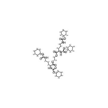 O=C(NCCCC(NC(=O)OC1CCCCC1)C(=O)OCCOC(=O)C(CCCNC(=O)OC1CCCCC1)NC(=O)OC1CCCCC1)OC1CCCCC1